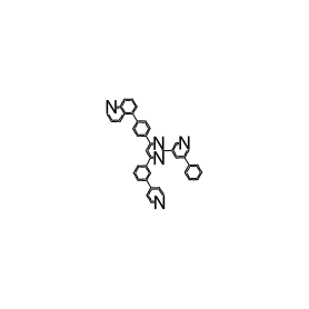 c1ccc(-c2cncc(-c3nc(-c4ccc(-c5cccc6ncccc56)cc4)cc(-c4cccc(-c5ccncc5)c4)n3)c2)cc1